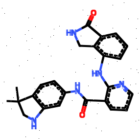 CC1(C)CNc2cc(NC(=O)c3cccnc3Nc3cccc4c3CNC4=O)ccc21